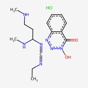 CCN=C=NC(CCNC)NC.Cl.O=c1c2ccccc2nnn1O